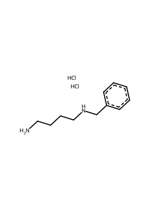 Cl.Cl.NCCCCNCc1ccccc1